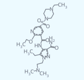 CCOc1ncc(S(=O)(=O)N2CCN(CC)CC2)cc1C(=O)Nc1c(C(N)=O)nn(CCN(C)C)c1CC